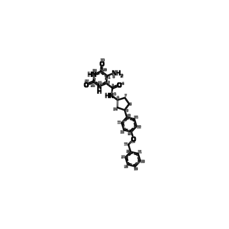 Nc1c(C(=O)NC2CCC(c3ccc(OCc4ccccc4)cc3)C2)[nH]c(=O)[nH]c1=O